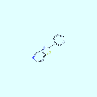 c1ccc(-c2nc3cnccc3s2)cc1